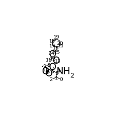 CC(C)C(N)C(=O)OC([C]=O)CC(=O)OCc1ccccc1